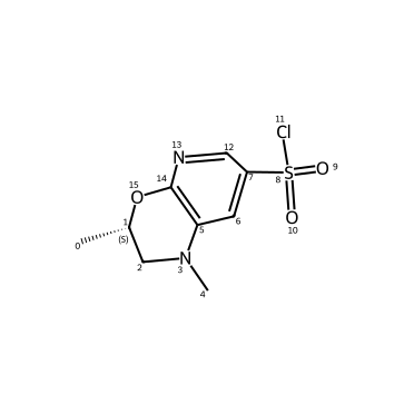 C[C@H]1CN(C)c2cc(S(=O)(=O)Cl)cnc2O1